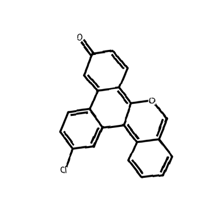 O=c1ccc2c(c1)c1ccc(Cl)cc1c1c3ccccc3coc21